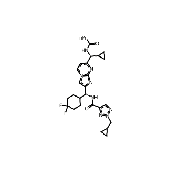 CCCC(=O)N[C@H](c1ccn2cc([C@@H](NC(=O)c3cnn(CC4CC4)n3)C3CCC(F)(F)CC3)nc2n1)C1CC1